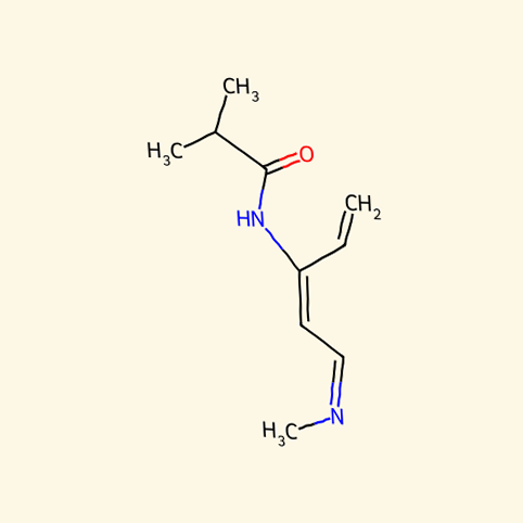 C=C/C(=C\C=N/C)NC(=O)C(C)C